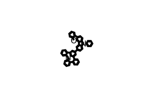 c1ccc(-n2c3ccc(-c4cc5c6c(c4)c4ccccc4n6-c4ccccc4-c4ccccc4-5)cc3c3c4oc5ccccc5c4ccc32)cc1